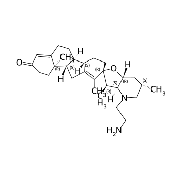 CC1=C2C[C@H]3[C@@H](CCC4=CC(=O)CC[C@@]43C)[C@@H]2CC[C@]12O[C@@H]1C[C@H](C)CN(CCN)[C@H]1[C@H]2C